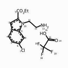 CCOC(=O)c1cc2ccc(Cl)cc2n1CCN.O=C(O)C(F)(F)F